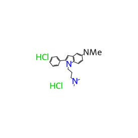 CNc1ccc2c(c1)cc(-c1ccccc1)n2CCCN(C)C.Cl.Cl